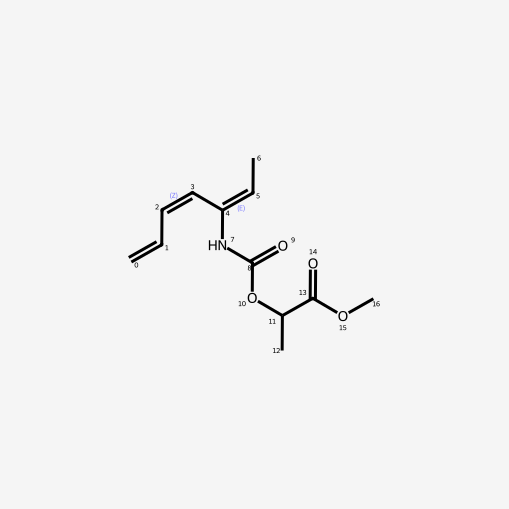 C=C/C=C\C(=C/C)NC(=O)OC(C)C(=O)OC